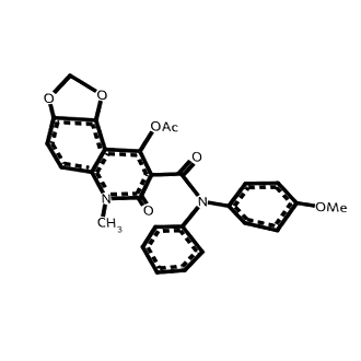 COc1ccc(N(C(=O)c2c(OC(C)=O)c3c4c(ccc3n(C)c2=O)OCO4)c2ccccc2)cc1